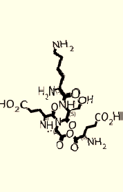 C[C@@H](C(=O)OC(=O)[C@@H](N)CCC(=O)O)N(C(=O)[C@H](CO)NC(=O)[C@@H](N)CCCCN)C(=O)[C@@H](N)CCC(=O)O